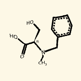 CN(Cc1ccccc1)[C@H](CO)C(=O)O